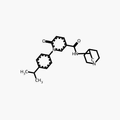 CC(C)c1ccc(-n2cc(C(=O)NC3CN4CCC3CC4)ccc2=O)cc1